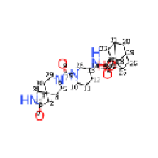 O=C1CC2(CCN(C(=O)N3CCCC(NC(=O)C45CC6CC(C4)C(O)C(C6)C5)C3)CC2)CN1